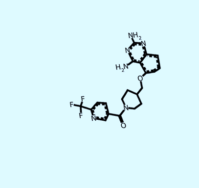 Nc1nc(N)c2c(OCC3CCN(C(=O)c4ccc(C(F)(F)F)nc4)CC3)cccc2n1